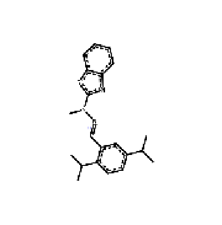 CC(C)c1ccc(C(C)C)c(/C=N/N(C)c2nc3ccccc3s2)c1